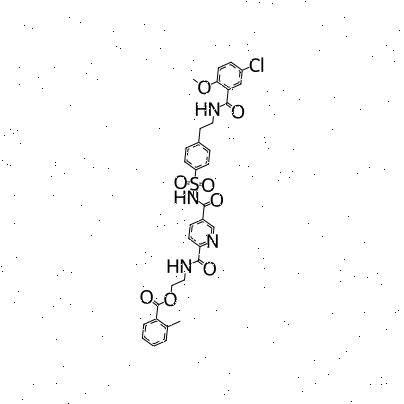 COc1ccc(Cl)cc1C(=O)NCCc1ccc(S(=O)(=O)NC(=O)c2ccc(C(=O)NCCOC(=O)c3ccccc3C)nc2)cc1